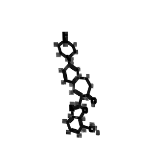 O=C1CCc2cc(N3CCNCC3)ccc2C=C1c1nc2cccc(C(F)(F)F)c2o1